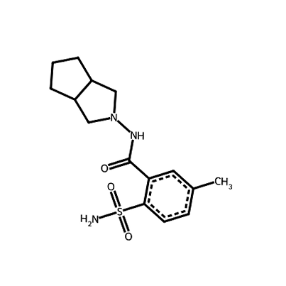 Cc1ccc(S(N)(=O)=O)c(C(=O)NN2CC3CCCC3C2)c1